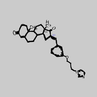 CC12CCC(=O)C=C1CCC1C2CC[C@]2(C)C(=O)/C(=C/c3cccc(OCCCn4ccnc4)c3)CC12